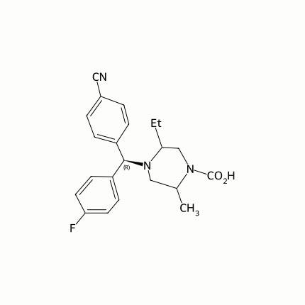 CCC1CN(C(=O)O)C(C)CN1[C@@H](c1ccc(F)cc1)c1ccc(C#N)cc1